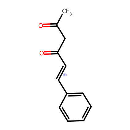 O=C(/C=C/c1ccccc1)CC(=O)C(F)(F)F